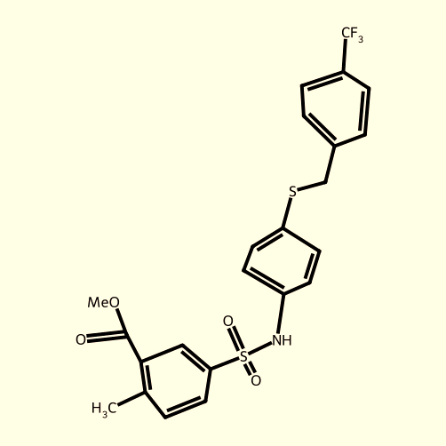 COC(=O)c1cc(S(=O)(=O)Nc2ccc(SCc3ccc(C(F)(F)F)cc3)cc2)ccc1C